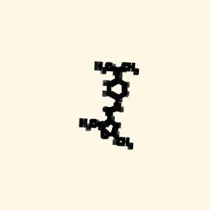 Cc1cc(N=Nc2ccc(N(C)C)cc2)[n+](C)o1